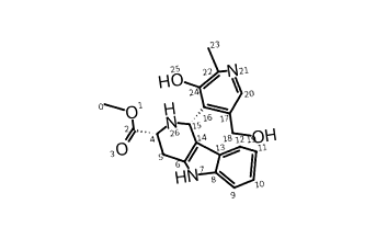 COC(=O)[C@H]1Cc2[nH]c3ccccc3c2[C@@H](c2c(CO)cnc(C)c2O)N1